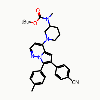 Cc1ccc(-c2c(-c3ccc(C#N)cc3)cc3c(N4CCCC(N(C)C(=O)OC(C)(C)C)C4)ccnn23)cc1